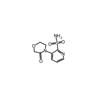 NS(=O)(=O)c1ncccc1N1CCOCC1=O